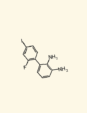 Nc1cccc(-c2ccc(I)cc2F)c1N